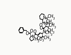 C/C(=C\[C@H](C(C)C)N(C)C(=O)[C@@H](NC(=O)C1CCCCN1C(C)C)C(C)C)C(=O)N1CCC[C@H]1C(=O)OCc1ccccc1